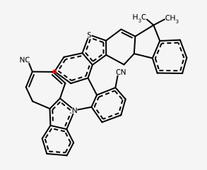 CC1(C)C2=Cc3sc4cccc(-c5c(C#N)cccc5-n5c6c(c7ccccc75)CC=C(C#N)C=C6)c4c3CC2c2ccccc21